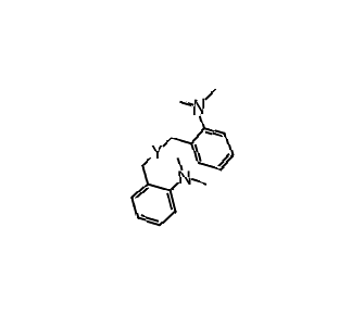 CN(C)c1ccccc1[CH2][Y][CH2]c1ccccc1N(C)C